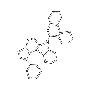 c1ccc(-n2ccc3ccc4c(c5ccccc5n4-c4cc5ccccc5c5ccccc45)c32)cc1